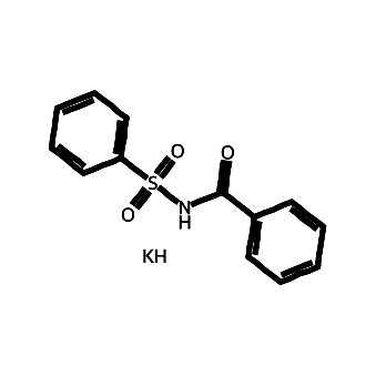 O=C(NS(=O)(=O)c1ccccc1)c1ccccc1.[KH]